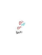 F.[O-2].[O-2].[Sn+4]